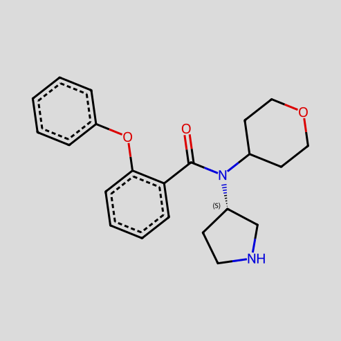 O=C(c1ccccc1Oc1ccccc1)N(C1CCOCC1)[C@H]1CCNC1